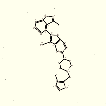 Cc1nc[nH]c1CN1CCC(c2ccc3[nH]c(-c4ccnc5[nH]nc(C)c45)c(C(C)C)c3c2)CC1